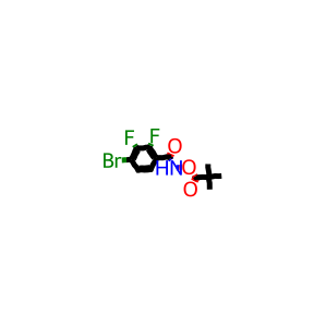 CC(C)(C)C(=O)ONC(=O)c1ccc(Br)c(F)c1F